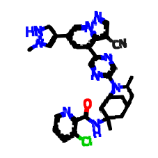 CC1CC2CC(CC(C)(NC(=O)c3ncccc3Cl)C2)N1c1cnc(-c2cc(C3=CN(C)NC3)cn3ncc(C#N)c23)cn1